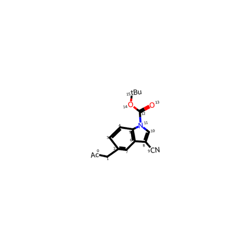 CC(=O)Cc1ccc2c(c1)c(C#N)cn2C(=O)OC(C)(C)C